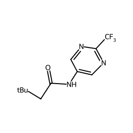 CC(C)(C)CC(=O)Nc1cnc(C(F)(F)F)nc1